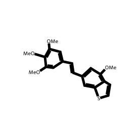 COc1cc(/C=C/c2cc(OC)c3ccsc3c2)cc(OC)c1OC